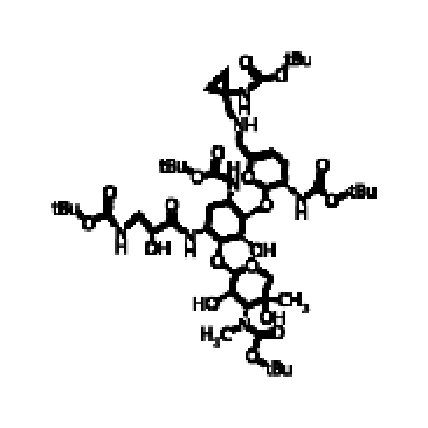 CN(C(=O)OC(C)(C)C)[C@@H]1[C@@H](O)[C@@H](O[C@@H]2[C@@H](O)[C@H](O[C@H]3OC(CNCC4(NC(=O)OC(C)(C)C)CC4)=CC[C@H]3NC(=O)OC(C)(C)C)[C@@H](NC(=O)OC(C)(C)C)C[C@H]2NC(=O)[C@@H](O)CNC(=O)OC(C)(C)C)OC[C@]1(C)O